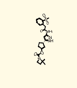 CC1(C)CCN1C(=O)OC1CC[C@H](c2cc(NC(=O)Cc3ccccc3S(C)(=O)=O)n[nH]2)C1